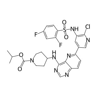 CC(C)OC(=O)N1CCC(Nc2ncnc3ccc(-c4cnc(Cl)c(NS(=O)(=O)c5ccc(F)cc5F)c4)nc23)CC1